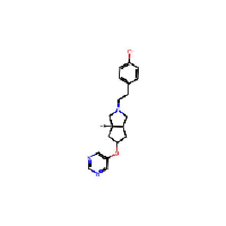 Oc1ccc(CCN2CC3C[C@@H](Oc4cncnc4)C[C@@H]3C2)cc1